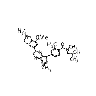 COc1cc(-c2cnc3c(n2)c(-c2ccc(C(=O)N(C)C[C@H](C)O)c(C)c2)cn3C)cc2c1CN(C)CC2